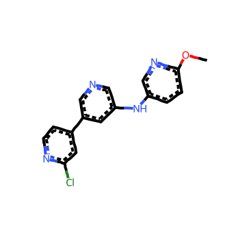 COc1ccc(Nc2cncc(-c3ccnc(Cl)c3)c2)cn1